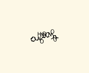 Cc1cc(C(=O)N2CCC3(CC2)CC(C(=O)NCc2ccccc2)=NO3)c(C)o1